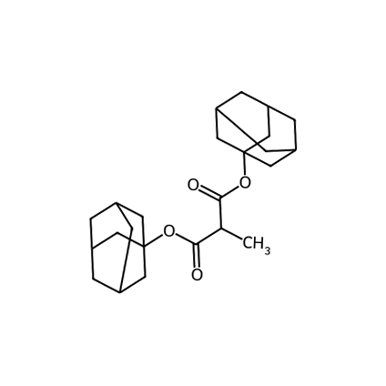 CC(C(=O)OC12CC3CC(CC(C3)C1)C2)C(=O)OC12CC3CC(CC(C3)C1)C2